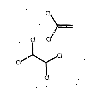 C=C(Cl)Cl.ClC(Cl)C(Cl)Cl